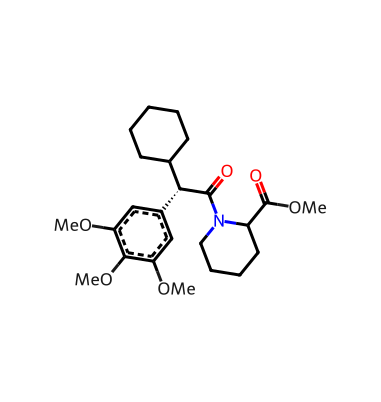 COC(=O)C1CCCCN1C(=O)[C@H](c1cc(OC)c(OC)c(OC)c1)C1CCCCC1